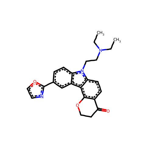 CCN(CC)CCn1c2ccc(-c3ncco3)cc2c2c3c(ccc21)C(=O)CCO3